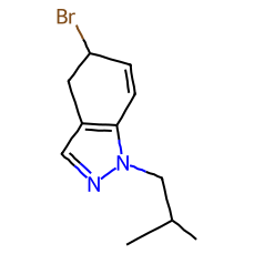 CC(C)Cn1ncc2c1C=CC(Br)C2